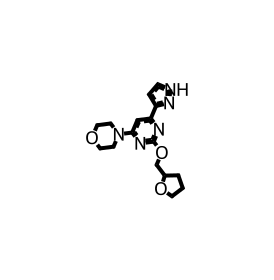 c1cc(-c2cc(N3CCOCC3)nc(OCC3CCCO3)n2)n[nH]1